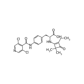 CCC1=C(N[C@@H](Cc2ccc(NC(=O)c3c(Cl)cncc3Cl)cc2)C(=O)O)C(C)(C)C1=O